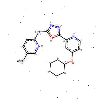 COc1ccc(Nc2nnc(-c3cc(OC4CCCCC4)ccn3)o2)nc1